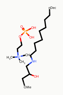 CCCCCCCCCCCCCCCCCCNCC(O)COC.C[N+](C)(C)CCOP(=O)(O)O